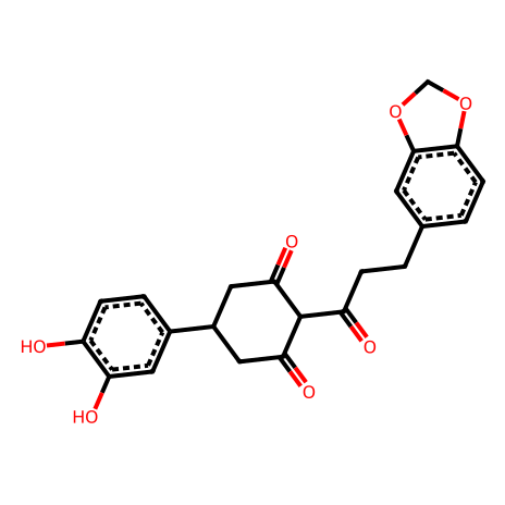 O=C(CCc1ccc2c(c1)OCO2)C1C(=O)CC(c2ccc(O)c(O)c2)CC1=O